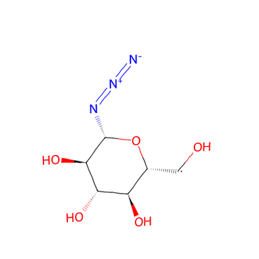 [N-]=[N+]=N[C@@H]1O[C@H]([CH]O)[C@@H](O)[C@H](O)[C@H]1O